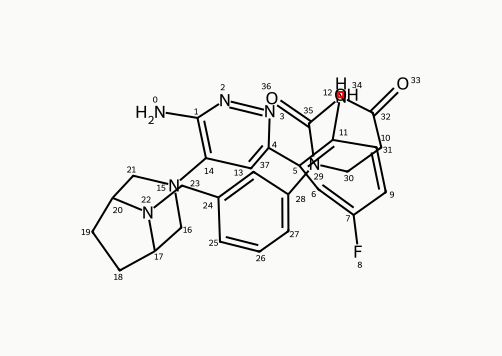 Nc1nnc(-c2cc(F)ccc2O)cc1N1CC2CCC(C1)N2Cc1cccc(N2CCC(=O)NC2=O)c1